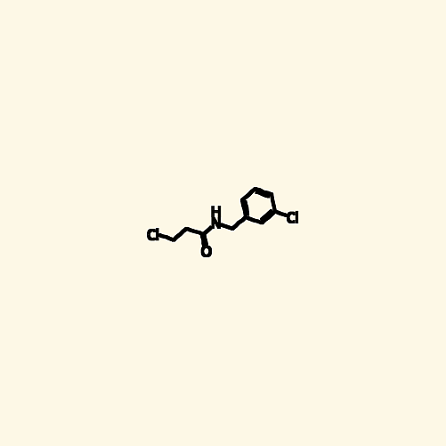 O=C(CCCl)NCc1cccc(Cl)c1